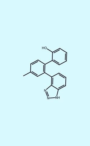 Cc1ccc(-c2ccccc2O)c(-c2cccc3[nH]nnc23)c1